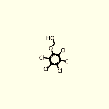 OCOc1c(Cl)c(Cl)c(Cl)c(Cl)c1Cl